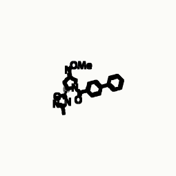 CON=C1C[C@@H](c2nc(C)no2)N(C(=O)c2ccc(-c3ccccc3)cc2)C1